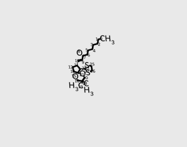 CCCCCCCC(=O)C=C[C@H]1CCC2(OCC(C)(C)CO2)[C@@H]1C1SCCS1